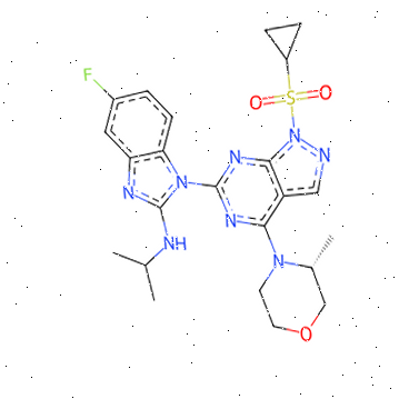 CC(C)Nc1nc2cc(F)ccc2n1-c1nc(N2CCOC[C@H]2C)c2cnn(S(=O)(=O)C3CC3)c2n1